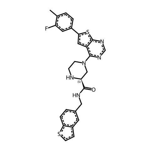 Cc1ccc(-c2cc3c(N4CCN[C@H](C(=O)NCc5ccc6sccc6c5)C4)ncnc3s2)cc1F